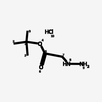 CC(C)(C)OC(=O)CNN.Cl